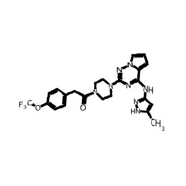 Cc1cc(Nc2nc(N3CCN(C(=O)Cc4ccc(OC(F)(F)F)cc4)CC3)nn3cccc23)n[nH]1